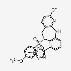 Cn1nnc(-c2cccc3c2N(S(=O)(=O)c2ccc(OC(F)(F)F)cc2)Cc2ccc(C(F)(F)F)nc2N3)n1